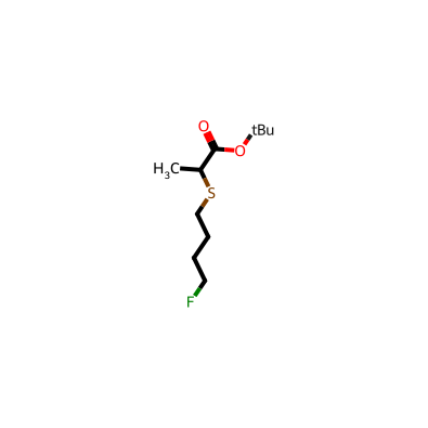 CC(SCCCCF)C(=O)OC(C)(C)C